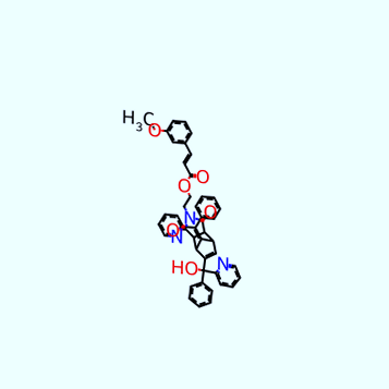 COc1cccc(C=CC(=O)OCCN2C(=O)C3C4C=C(C(O)(c5ccccc5)c5ccccn5)C(C4=C(c4ccccc4)c4ccccn4)C3C2=O)c1